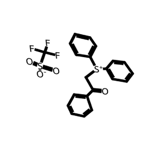 O=C(C[S+](c1ccccc1)c1ccccc1)c1ccccc1.O=S(=O)([O-])C(F)(F)F